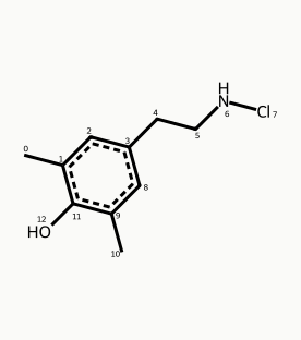 Cc1cc(CCNCl)cc(C)c1O